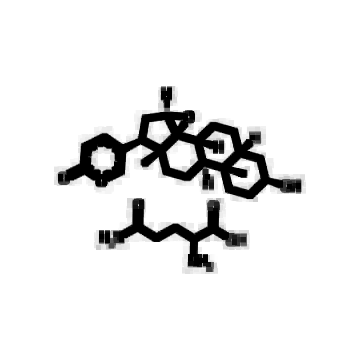 C[C@]12CC[C@H](O)C[C@H]1CC[C@@H]1[C@@H]2CC[C@]2(C)[C@@H](c3ccc(=O)oc3)C[C@H]3O[C@]132.NC(=O)CCC(N)C(=O)O